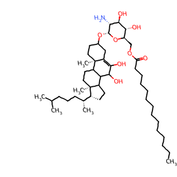 CCCCCCCCCCCCCC(=O)OC[C@H]1O[C@H](OC2CC[C@@]3(C)C(=C(O)C(O)C4C3CC[C@@]3(C)C4CC[C@@H]3[C@H](C)CCCC(C)C)C2)[C@H](N)[C@@H](O)[C@@H]1O